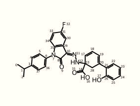 CC(C)c1ccc(N2C(=O)/C(=N\NC3(C(=O)O)C=CC=C(c4ccccc4O)C3)c3cc(F)ccc32)cc1